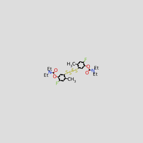 CCN(CC)C(=O)Oc1cc(SSSSc2cc(OC(=O)N(CC)CC)c(F)cc2C)c(C)cc1F